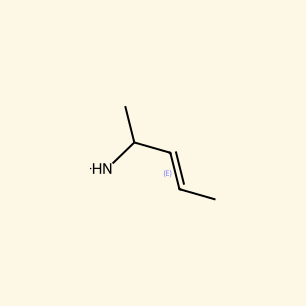 C/C=C/C(C)[NH]